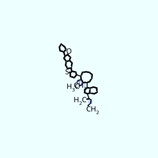 C=C/C=C\C(=C)c1ccc(-c2ccccccc(-c3ccc4sc5cc6cc7c(cc6cc5c4c3)oc3ccccc37)c(=C/C)/c2=C\C)c2ccccc12